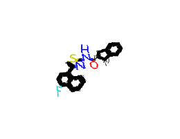 C[C@H]1c2ccccc2C[C@H]1C(=O)Nc1nc(-c2ccc(F)c3ccccc23)cs1